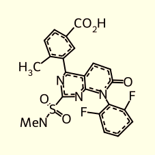 CNS(=O)(=O)c1nc(-c2cc(C(=O)O)ccc2C)c2ccc(=O)n(-c3c(F)cccc3F)c2n1